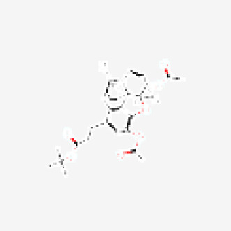 CC(=O)Oc1cc(CCC(=O)OC(C)(C)C)c2c3c1O[C@H]1[C@@H](OC(C)=O)C=CC4[C@H](CCC[C@@]341)C2